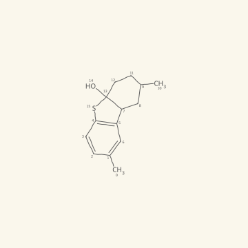 Cc1ccc2c(c1)C1CC(C)CCC1(O)S2